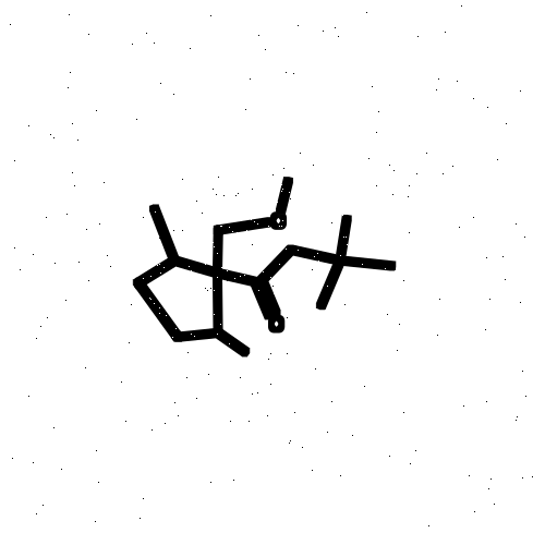 COCC1(C(=O)CC(C)(C)C)C(C)CCC1C